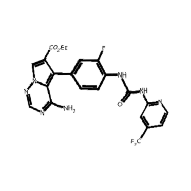 CCOC(=O)c1cn2ncnc(N)c2c1-c1ccc(NC(=O)Nc2cc(C(F)(F)F)ccn2)c(F)c1